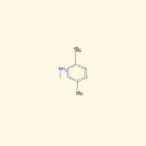 CC(C)(C)c1ccc(C(C)(C)C)cc1.CN